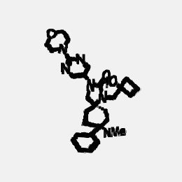 CN[C@]1(c2ccccc2)CC[C@]2(CC1)CN(c1cnc(N3CCOCC3)nc1)C(=O)N2CC1(O)CCC1